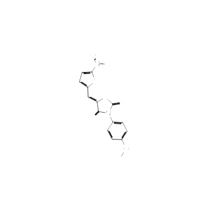 COc1ccc(N2C(=O)C(=Cc3ccc([N+](=O)[O-])s3)SC2=S)cc1